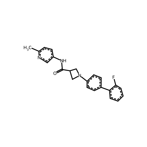 Cc1ccc(NC(=O)C2CN(c3ccc(-c4ccccc4F)cc3)C2)cn1